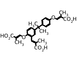 CC(=COc1ccc(C(C)(C)c2ccc(OC=C(C)C(=O)O)c(C=C(C)C(=O)O)c2)cc1)C(=O)O